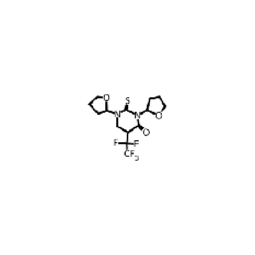 O=C1C(C(F)(F)C(F)(F)F)CN(C2CCCO2)C(=S)N1C1CCCO1